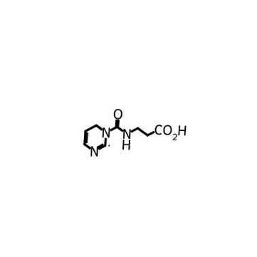 O=C(O)CCNC(=O)N1[C]=NC=CC1